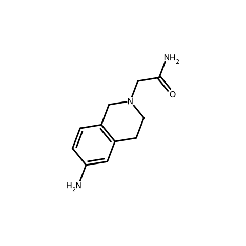 NC(=O)CN1CCc2cc(N)ccc2C1